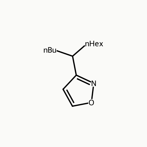 CCCCCCC(CCCC)c1ccon1